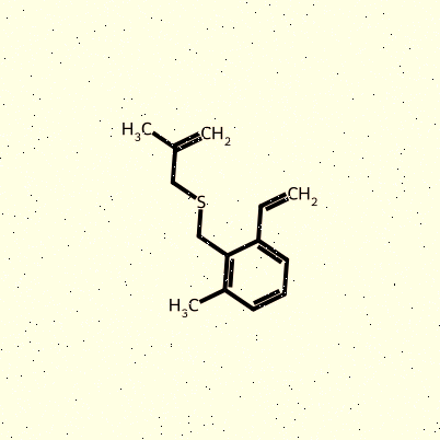 C=Cc1cccc(C)c1CSCC(=C)C